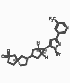 CC(C)n1nc(-c2cncc(C(F)(F)F)c2)cc1[C@H]1[C@@H]2CC(N3CC[C@@]4(CCS(=O)(=O)C4)C3)C[C@@H]21